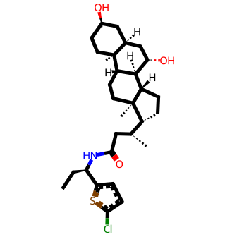 CC[C@@H](NC(=O)C[C@@H](C)[C@H]1CC[C@H]2[C@@H]3[C@@H](O)C[C@@H]4C[C@H](O)CC[C@]4(C)[C@H]3CC[C@]12C)c1ccc(Cl)s1